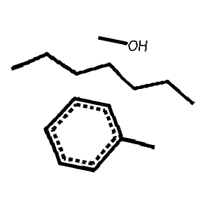 CCCCCCC.CO.Cc1ccccc1